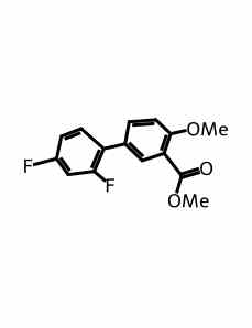 COC(=O)c1cc(-c2ccc(F)cc2F)ccc1OC